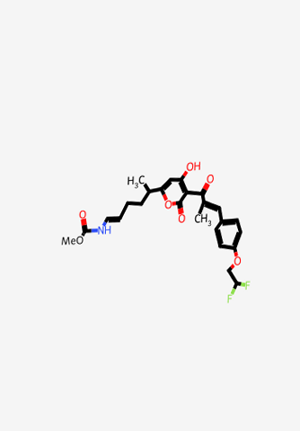 COC(=O)N/C=C/CCC(C)c1cc(O)c(C(=O)/C(C)=C/c2ccc(OCC(F)F)cc2)c(=O)o1